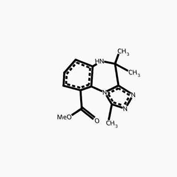 COC(=O)c1cccc2c1-n1c(C)nnc1C(C)(C)N2